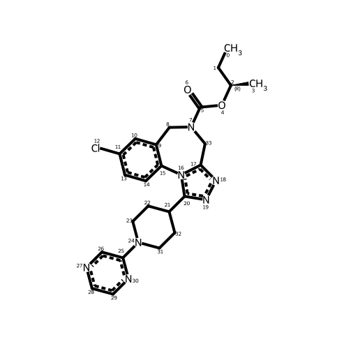 CC[C@@H](C)OC(=O)N1Cc2cc(Cl)ccc2-n2c(nnc2C2CCN(c3cnccn3)CC2)C1